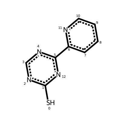 Sc1ncnc(-c2ccccn2)n1